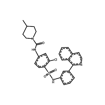 CC1CCN(C(=O)Nc2ccc(S(=O)(=O)Nc3cccc(-c4nccc5ccccc45)c3)c(Cl)c2)CC1